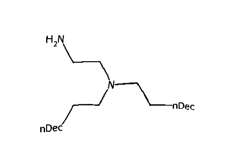 CCCCCCCCCCCCN(CCN)CCCCCCCCCCCC